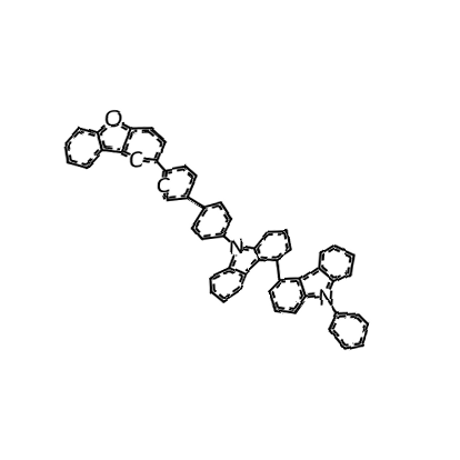 c1ccc(-n2c3ccccc3c3c(-c4cccc5c4c4ccccc4n5-c4ccc(-c5ccc(-c6ccc7oc8ccccc8c7c6)cc5)cc4)cccc32)cc1